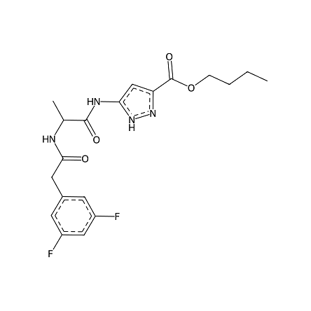 CCCCOC(=O)c1cc(NC(=O)C(C)NC(=O)Cc2cc(F)cc(F)c2)[nH]n1